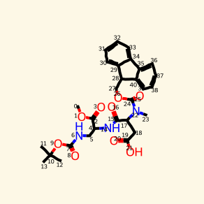 COC(=O)C(CNC(=O)OC(C)(C)C)NC(=O)C(CC(=O)O)N(C)C(=O)OCC1c2ccccc2-c2ccccc21